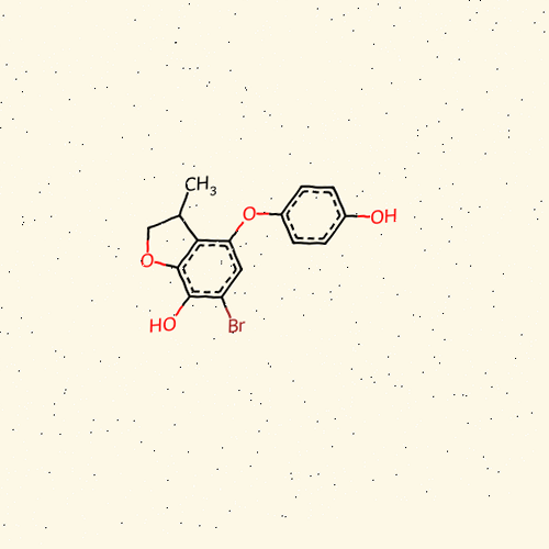 CC1COc2c(O)c(Br)cc(Oc3ccc(O)cc3)c21